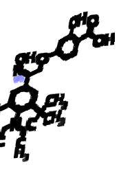 CCN(CC)c1c(Cl)cc(/C(COc2ccc(C(=O)O)c(O)c2)=N/O)cc1C(C)(C)C